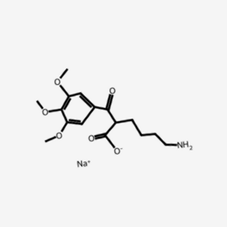 COc1cc(C(=O)C(CCCCN)C(=O)[O-])cc(OC)c1OC.[Na+]